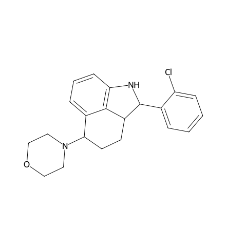 Clc1ccccc1C1Nc2cccc3c2C1CCC3N1CCOCC1